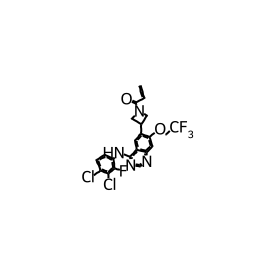 C=CC(=O)N1CC(c2cc3c(Nc4ccc(Cl)c(Cl)c4F)ncnc3cc2OCC(F)(F)F)C1